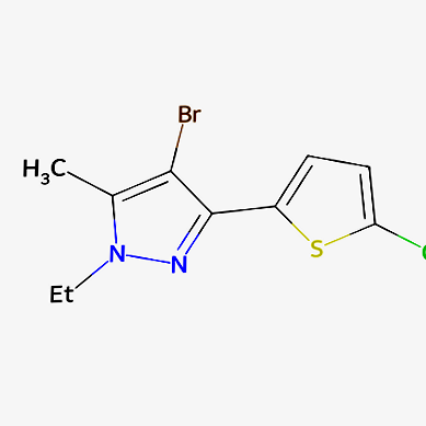 CCn1nc(-c2ccc(Cl)s2)c(Br)c1C